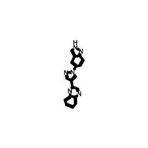 c1ccc2nc(-c3cnn(-c4ccc5n[nH]cc5c4)c3)cnc2c1